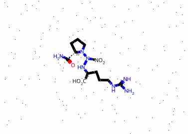 N=C(N)NCCCC(NN(N1CCC[C@H]1C(N)=O)[N+](=O)[O-])C(=O)O